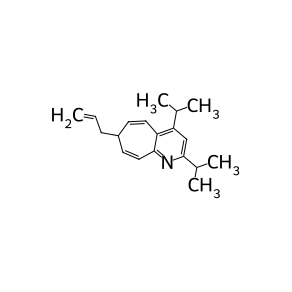 C=CCC1C=Cc2nc(C(C)C)cc(C(C)C)c2C=C1